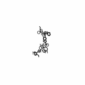 CCCOC(=O)[C@H](C)NP(=O)(Cc1ccc2sc(C(=O)N[C@H]3CCC[C@H]4CC[C@@H](C(=O)N5CC(c6cnccc6CC)C5)N4C3=O)cc2c1)Oc1ccccc1